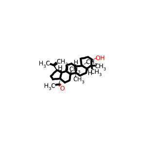 C=C(C)[C@@H]1CC[C@]2(C(C)=O)CC[C@]3(C)C(=CC[C@@H]4[C@@]5(C)CC[C@H](O)C(C)(C)[C@@H]5CC[C@]43C)[C@@H]12